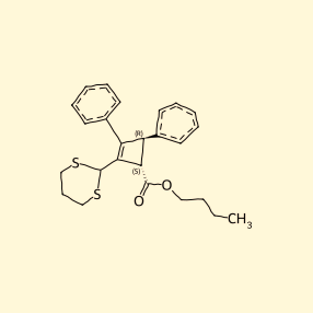 CCCCOC(=O)[C@@H]1C(C2SCCCS2)=C(c2ccccc2)[C@H]1c1ccccc1